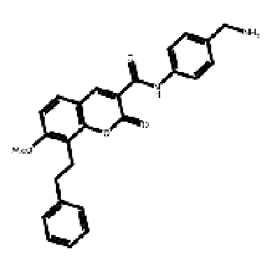 COc1ccc2cc(C(=O)Nc3ccc(CN)cc3)c(=O)oc2c1CCc1ccccc1